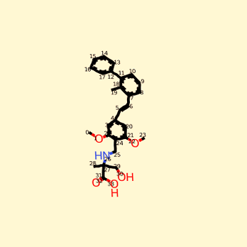 COc1cc(C=Cc2cccc(-c3ccccc3)c2C)cc(OC)c1CNC(C)(CO)C(=O)O